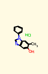 Cc1cc2c(cc1O)ncn2-c1ccccc1.Cl